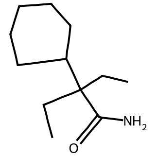 CCC(CC)(C(N)=O)C1CCCCC1